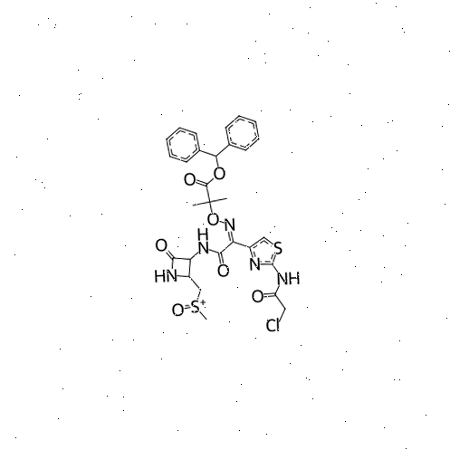 C[S+]([O-])CC1NC(=O)C1NC(=O)/C(=N\OC(C)(C)C(=O)OC(c1ccccc1)c1ccccc1)c1csc(NC(=O)CCl)n1